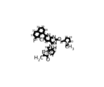 C=C(F)C(=O)N1CC[C@@H]2[C@H]1CN2c1nc(OCC2CCCN2C)nc2nc(-c3cccc4ccc(F)c(Cl)c34)ccc12